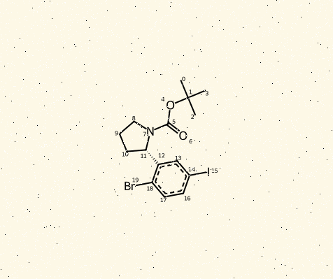 CC(C)(C)OC(=O)N1CCC[C@H]1c1cc(I)ccc1Br